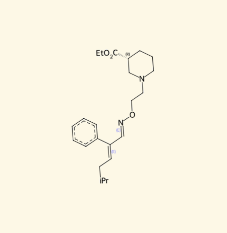 CCOC(=O)[C@@H]1CCCN(CCO/N=C/C(=C/CC(C)C)c2ccccc2)C1